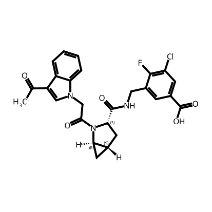 CC(=O)c1cn(CC(=O)N2[C@@H]3C[C@H]3C[C@H]2C(=O)NCc2cc(C(=O)O)cc(Cl)c2F)c2ccccc12